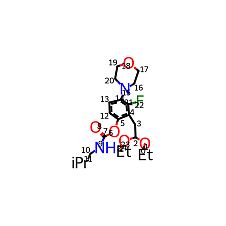 CCOC(Cc1c(OC(=O)NCC(C)C)ccc(N2CCOCC2)c1F)OCC